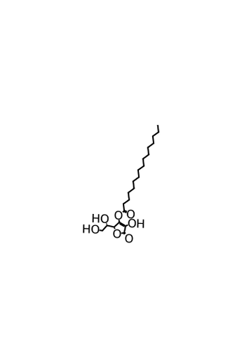 CCCCCCCCCCCCCCCC(=O)OC1=C(O)C(=O)O[C@H]1[C@@H](O)CO